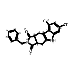 O=C1C2Cc3[nH]c4cc(Cl)cc(Cl)c4c3CC2C(=O)N1Cc1ccccc1